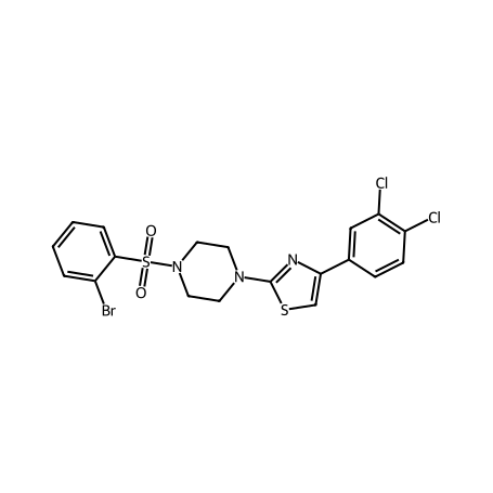 O=S(=O)(c1ccccc1Br)N1CCN(c2nc(-c3ccc(Cl)c(Cl)c3)cs2)CC1